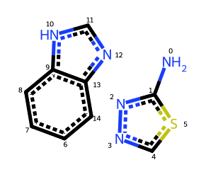 Nc1nncs1.c1ccc2[nH]cnc2c1